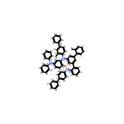 Cc1ccccc1-c1cc2c3c(c1)N(c1ccc(-c4ccccc4)cc1C)c1cc(N(c4ccccc4)c4ccccc4)ccc1B3N(c1ccc(-c3ccccc3)cc1)c1ccccc1-2